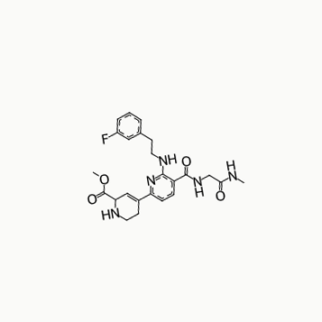 CNC(=O)CNC(=O)c1ccc(C2=CC(C(=O)OC)NCC2)nc1NCCc1cccc(F)c1